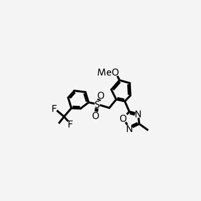 COc1ccc(-c2nc(C)no2)c(CS(=O)(=O)c2cccc(C(C)(F)F)c2)c1